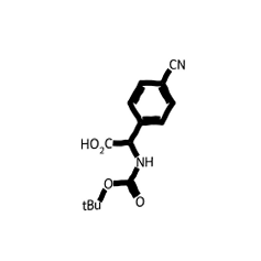 CC(C)(C)OC(=O)NC(C(=O)O)c1ccc(C#N)cc1